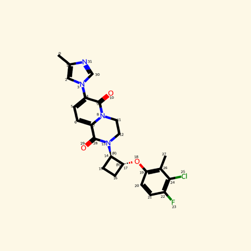 Cc1cn(-c2ccc3n(c2=O)CCN([C@@H]2CC[C@H]2Oc2ccc(F)c(Cl)c2C)C3=O)cn1